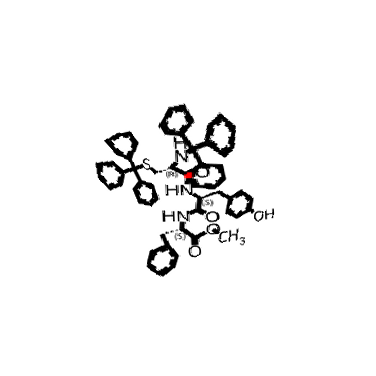 COC(=O)[C@H](Cc1ccccc1)NC(=O)[C@H](Cc1ccc(O)cc1)NC(=O)[C@H](CSC(c1ccccc1)(c1ccccc1)c1ccccc1)NC(c1ccccc1)(c1ccccc1)c1ccccc1